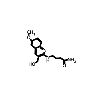 COc1ccc2nc(NCCCC(N)=O)c(CO)cc2c1